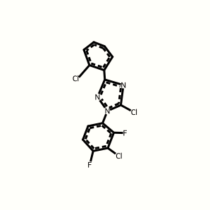 Fc1ccc(-n2nc(-c3ccccc3Cl)nc2Cl)c(F)c1Cl